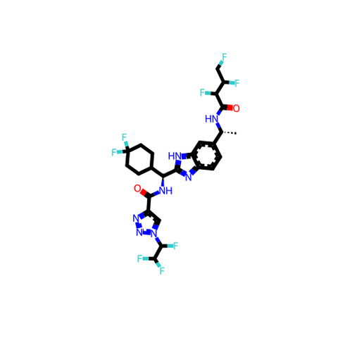 C[C@@H](NC(=O)C(F)C(F)CF)c1ccc2nc([C@@H](NC(=O)c3cn(C(F)C(F)F)nn3)C3CCC(F)(F)CC3)[nH]c2c1